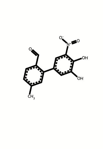 Cc1ccc(C=O)c(-c2cc(O)c(O)c([N+](=O)[O-])c2)c1